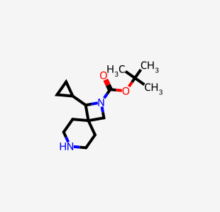 CC(C)(C)OC(=O)N1CC2(CCNCC2)C1C1CC1